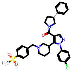 CS(=O)(=O)c1ccc(CN2CCCC(c3c(C(=O)N4CC[C@H](c5ccccc5)C4)cnn3-c3ccc(Cl)cc3)C2)cc1